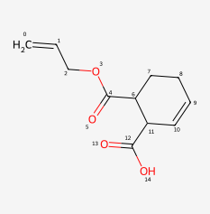 C=CCOC(=O)C1CCC=CC1C(=O)O